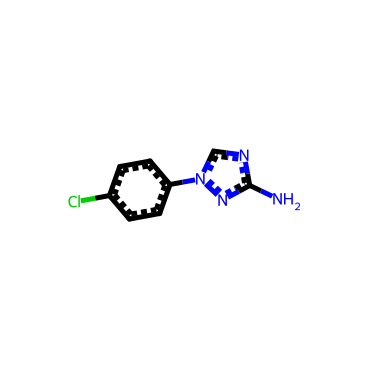 Nc1ncn(-c2ccc(Cl)cc2)n1